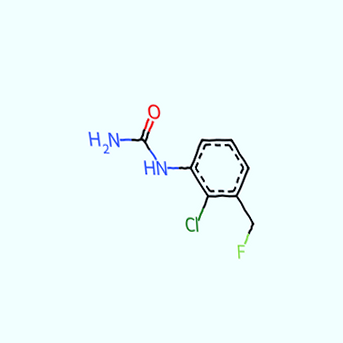 NC(=O)Nc1cccc(CF)c1Cl